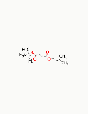 CC(C)CCOC(=O)C=CC(=O)OC(C)(C)C